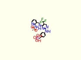 CN(c1ncccc1CNc1nc(Nc2ccc(CP(=O)(O)O)cc2)ncc1C(F)(F)F)S(C)(=O)=O